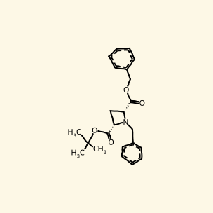 CC(C)(C)OC(=O)[C@@H]1C[C@H](C(=O)OCc2ccccc2)N1Cc1ccccc1